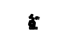 COc1ccc([C@@H](C(C)C)N(C)C)cc1